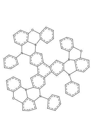 c1ccc(N2c3cc4c(cc3B3c5ccccc5Oc5cccc2c53)c2cc3c(cc2c2cc5c(cc42)B2c4ccccc4Oc4cccc(c42)N5c2ccccc2)N(c2ccccc2)c2cccc4c2B3c2ccccc2O4)cc1